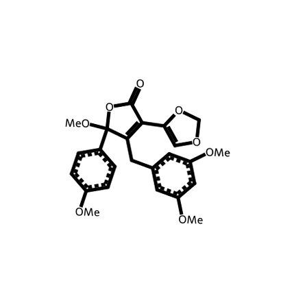 COc1ccc(C2(OC)OC(=O)C(C3=COCO3)=C2Cc2cc(OC)cc(OC)c2)cc1